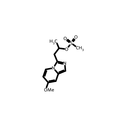 COc1ccn2c(CC(C)OS(C)(=O)=O)ncc2c1